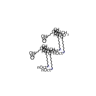 CCCCCCCC/C=C\CCCCCCCCOC(=O)C(C)(C)CC(OCCCCCCCC/C=C\CCCCCCCC)O[Si](C)(C)OCCCCCCN1CCCCC1CO.CCCCCCCC/C=C\CCCCCCCCOC(=O)C(C)(C)CC(OCCCCCCCC/C=C\CCCCCCCC)O[Si](C)(C)OCCCCCCN1CCCCC1CO